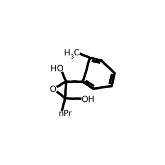 CCCC1(O)OC1(O)c1ccccc1C